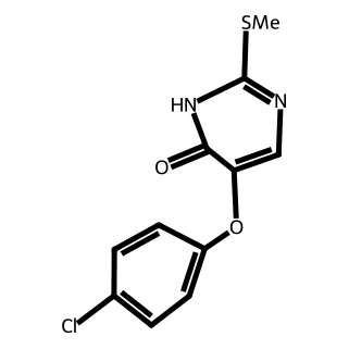 CSc1ncc(Oc2ccc(Cl)cc2)c(=O)[nH]1